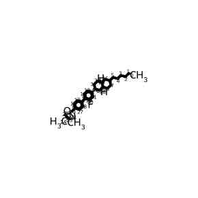 CCCCCCC1CC[C@@H]2C[C@H](c3ccc(-c4ccc(C5=NC(C)(C)CO5)cc4)c(F)c3)CC[C@@H]2C1